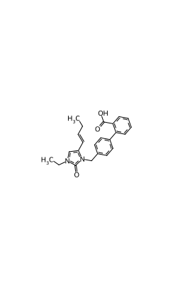 CCC=Cc1cn(CC)c(=O)n1Cc1ccc(-c2ccccc2C(=O)O)cc1